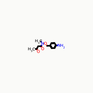 CC(=O)CC(=O)N(C)OCc1ccc(N)cc1